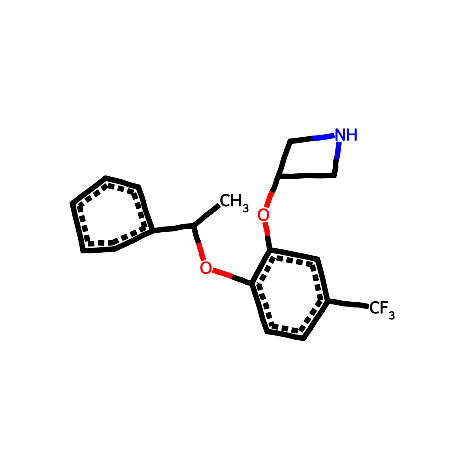 CC(Oc1ccc(C(F)(F)F)cc1OC1CNC1)c1ccccc1